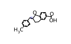 Cc1ccc(/C=C2\CCc3cc(C(=O)O)ccc3C2=O)cc1